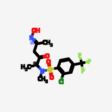 C/C(CC(=O)[C@H](C)N(C)S(=O)(=O)c1ccc(C(F)(F)F)cc1Cl)=N\O